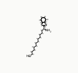 NN(CCCCCCCCCCCCO)c1nc2ccccc2s1